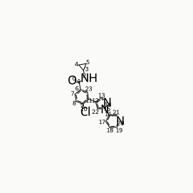 O=C(NC1CC1)c1ccc(Cl)c(-c2cnn(-c3cccnc3)c2)c1